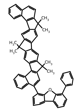 CC1(C)c2cc3c(cc2-c2cc4c(cc21)-c1c(cc(-c2cccc5c2oc2c(-c6ccccc6)cccc25)c2ccccc12)C4(C)C)C(C)(C)c1ccc2ccccc2c1-3